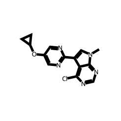 Cn1cc(-c2ncc(OC3CC3)cn2)c2c(Cl)ncnc21